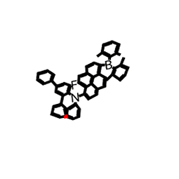 Cc1cccc(C)c1B(c1c(C)cccc1C)c1ccc2ccc3c(N(c4ccccc4)c4c(F)cc(-c5ccccc5)cc4-c4ccccc4)ccc4ccc1c2c43